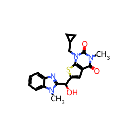 Cn1c(=O)c2cc(C(O)c3nc4ccccc4n3C)sc2n(CC2CC2)c1=O